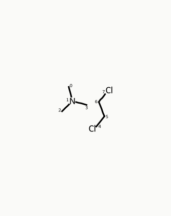 CN(C)C.ClCCCl